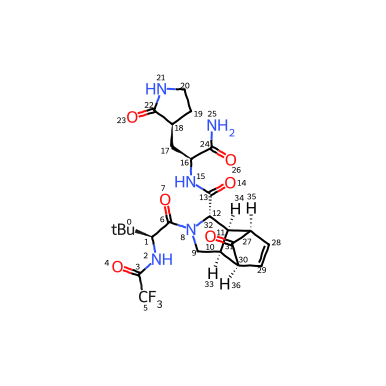 CC(C)(C)[C@H](NC(=O)C(F)(F)F)C(=O)N1C[C@H]2[C@@H]([C@H]1C(=O)N[C@@H](C[C@@H]1CCNC1=O)C(N)=O)[C@H]1C=C[C@@H]2C1=O